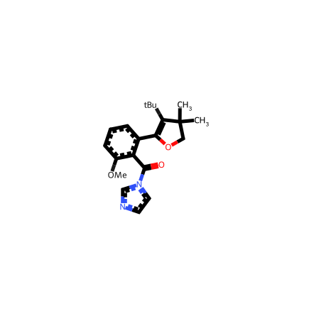 COc1cccc(C2=C(C(C)(C)C)C(C)(C)CO2)c1C(=O)n1ccnc1